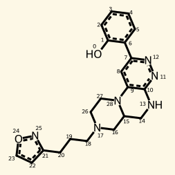 Oc1ccccc1-c1cc2c(nn1)NCC1CN(CCCc3ccon3)CCN21